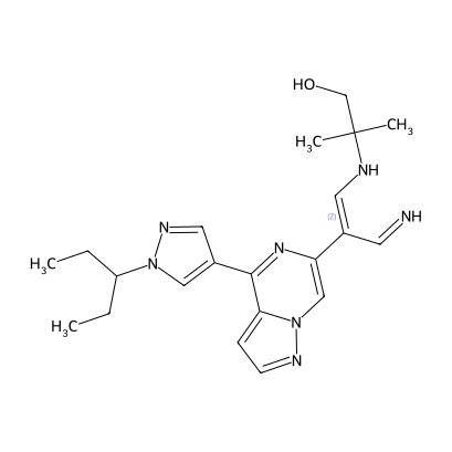 CCC(CC)n1cc(-c2nc(/C(C=N)=C/NC(C)(C)CO)cn3nccc23)cn1